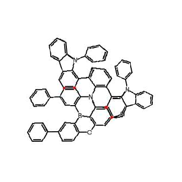 Clc1cc2c3c(c1)N(c1c(-c4cccc5c6ccccc6n(-c6ccccc6)c45)cccc1-c1cccc4c5ccccc5n(-c5ccccc5)c14)c1ccc(-c4ccccc4)cc1B3c1cc(-c3ccccc3)ccc1O2